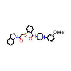 COc1cccc(N2CCN(C(=O)c3ccccc3SCC(=O)N3CCc4ccccc43)CC2)c1